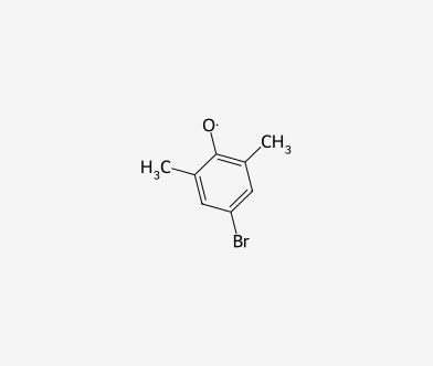 Cc1cc(Br)cc(C)c1[O]